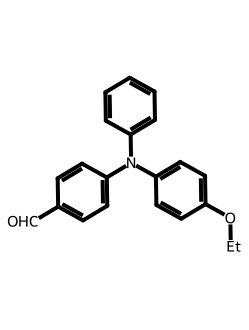 CCOc1ccc(N(c2ccccc2)c2ccc(C=O)cc2)cc1